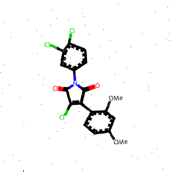 COc1ccc(C2=C(Cl)C(=O)N(c3ccc(Cl)c(Cl)c3)C2=O)c(OC)c1